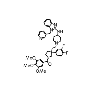 COc1cc(C(=O)N2CCC(CCN3CCC(Nc4nc5ccccc5n4Cc4cccnc4)CC3)(c3ccc(F)c(F)c3)C2)cc(OC)c1OC